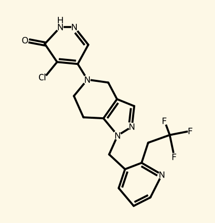 O=c1[nH]ncc(N2CCc3c(cnn3Cc3cccnc3CC(F)(F)F)C2)c1Cl